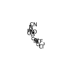 N#CCN1CC[C@@H](N2C(=O)SC(=Cc3ccc4c(cnn4Cc4ccc(Cl)cc4C(F)(F)F)c3)C2=O)[C@H](F)C1